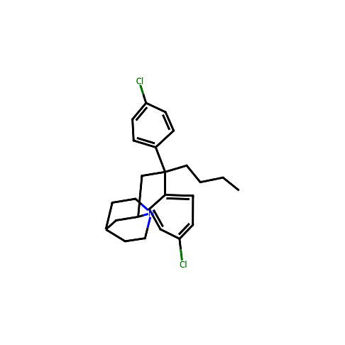 CCCCC(CC1CC2CCN1CC2)(c1ccc(Cl)cc1)c1ccc(Cl)cc1